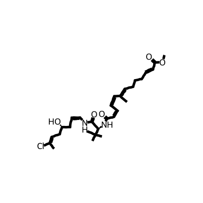 COC(=O)/C=C/CCC/C=C(C)/C=C\C=C/C(=O)N[C@H](C(=O)N/C=C\C[C@@H](O)C/C=C(\C)Cl)C(C)(C)C